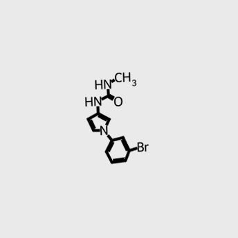 CNC(=O)Nc1ccn(-c2cccc(Br)c2)c1